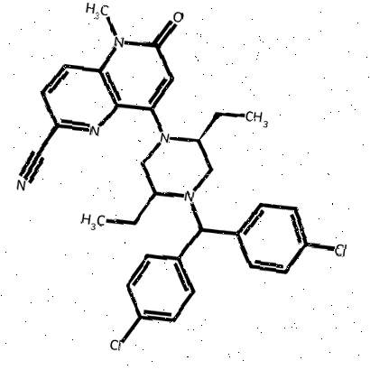 CCC1CN(c2cc(=O)n(C)c3ccc(C#N)nc23)[C@@H](CC)CN1C(c1ccc(Cl)cc1)c1ccc(Cl)cc1